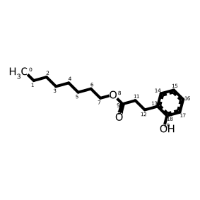 CCCCCCCCOC(=O)CCc1ccccc1O